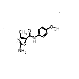 COc1ccc(NC(=O)c2sc(N)nc2C)cc1